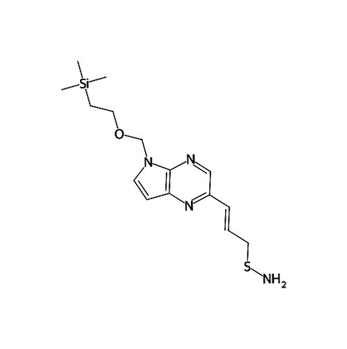 C[Si](C)(C)CCOCn1ccc2nc(C=CCSN)cnc21